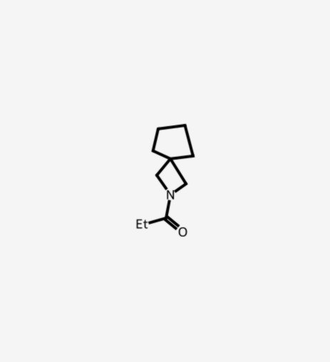 CCC(=O)N1CC2(CCCC2)C1